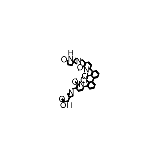 COc1nc(-c2cccc(-c3cccc(-c4ccc(CN5CC6(CCC(=O)N6)C5)c(OC)n4)c3Cl)c2Cl)ccc1CN1CC(CC(=O)O)C1